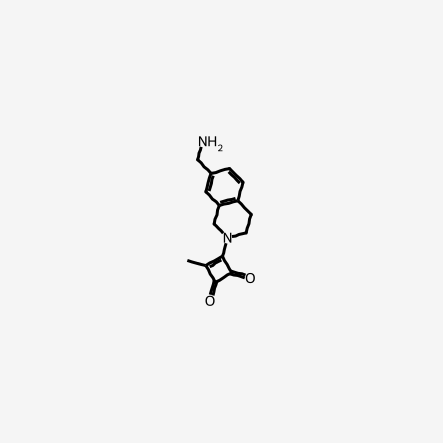 Cc1c(N2CCc3ccc(CN)cc3C2)c(=O)c1=O